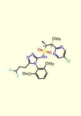 COc1cccc(OC)c1-n1c(CCC(F)F)nnc1NS(=O)(=O)[C@@H](C)[C@H](OC)c1ncc(Cl)cn1